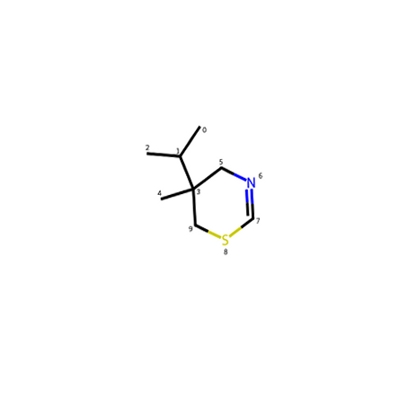 CC(C)C1(C)CN=CSC1